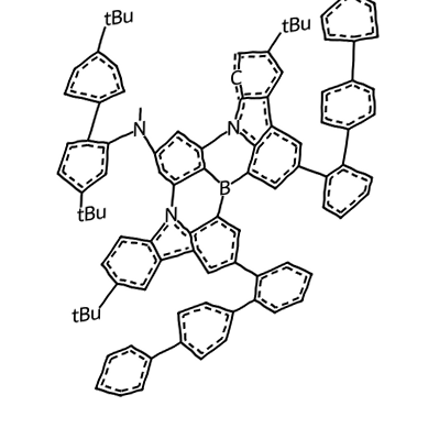 CN(c1cc2c3c(c1)-n1c4ccc(C(C)(C)C)cc4c4cc(-c5ccccc5-c5ccc(-c6ccccc6)cc5)cc(c41)B3c1cc(-c3ccccc3-c3ccc(-c4ccccc4)cc3)cc3c4cc(C(C)(C)C)ccc4n-2c13)c1cc(C(C)(C)C)ccc1-c1ccc(C(C)(C)C)cc1